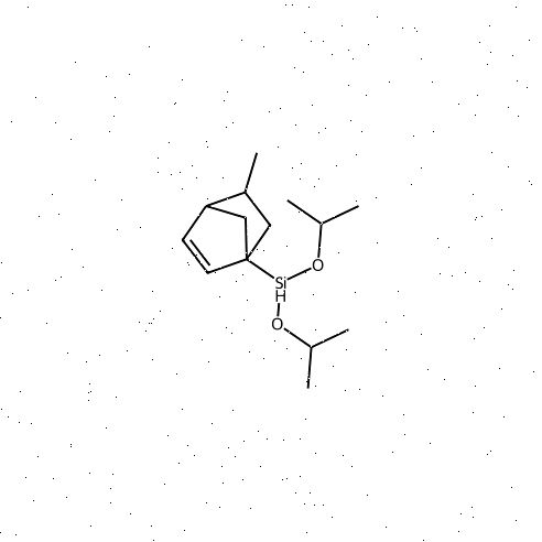 CC(C)O[SiH](OC(C)C)C12C=CC(C1)C(C)C2